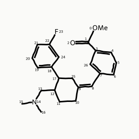 COC(=O)c1cccc(/C=C2/CCC(CN(C)C)C(c3cccc(F)c3)C2)c1